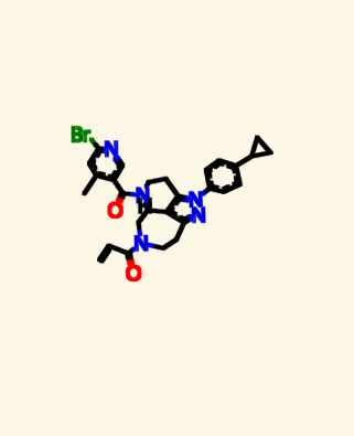 C=CC(=O)N1CCc2nn(-c3ccc(C4CC4)cc3)c3c2[C@@H](C1)N(C(=O)c1cnc(Br)cc1C)CC3